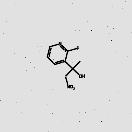 CC(O)(C[N+](=O)[O-])c1cccnc1F